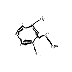 CCCCOc1c(F)cccc1C#N